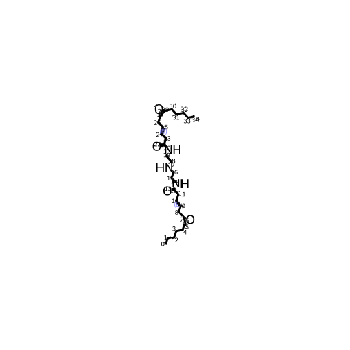 CCCCCC1OC1C/C=C/CC(=O)NCCNCCNC(=O)C/C=C/CC1OC1CCCCC